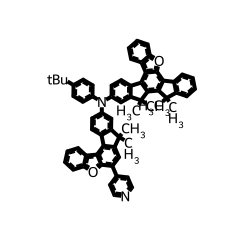 CC(C)(C)c1ccc(N(c2ccc3c(c2)C(C)(C)c2cc(-c4ccncc4)c4oc5ccccc5c4c2-3)c2ccc3c(c2)C(C)(C)c2c4c(c5oc6ccccc6c5c2-3)-c2ccccc2C4(C)C)cc1